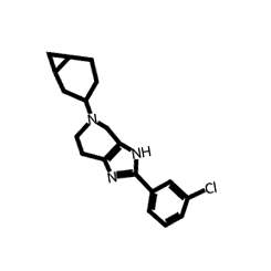 Clc1cccc(-c2nc3c([nH]2)CN(C2CCC4CC4C2)CC3)c1